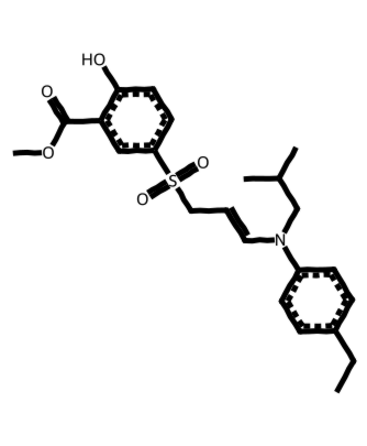 CCc1ccc(N(C=CCS(=O)(=O)c2ccc(O)c(C(=O)OC)c2)CC(C)C)cc1